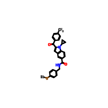 CCSc1ccc(CNC(=O)c2ccc3c(c2)cc(C(=O)c2ccc(C(F)(F)F)cc2)n3C2CC2)cc1